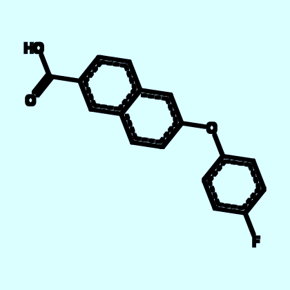 O=C(O)c1ccc2cc(Oc3ccc(F)cc3)ccc2c1